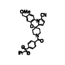 COCc1ccc2c(c1)OC1(CCN(C(=O)c3ccc(S(=O)(=O)C(C)C)cc3)CC1)c1ccc(C#N)n1-2